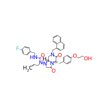 C=CCN(C(=O)NCc1ccc(F)cc1)N1CC(=O)N2[C@@H](Cc3ccc(OCCO)cc3)C(=O)N(Cc3cccc4ccccc34)C[C@@H]21